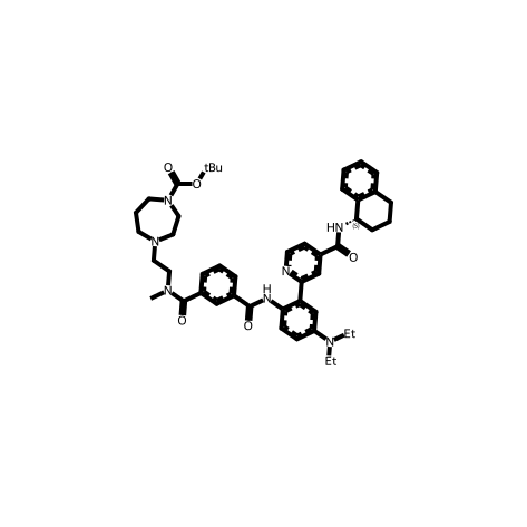 CCN(CC)c1ccc(NC(=O)c2cccc(C(=O)N(C)CCN3CCCN(C(=O)OC(C)(C)C)CC3)c2)c(-c2cc(C(=O)N[C@H]3CCCc4ccccc43)ccn2)c1